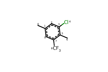 Cc1cc(Cl)c(C)c(C(F)(F)F)c1